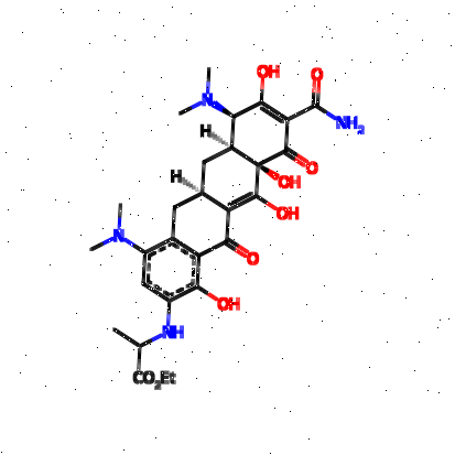 CCOC(=O)C(C)Nc1cc(N(C)C)c2c(c1O)C(=O)C1=C(O)[C@@]3(O)C(=O)C(C(N)=O)=C(O)[C@H](N(C)C)[C@@H]3C[C@@H]1C2